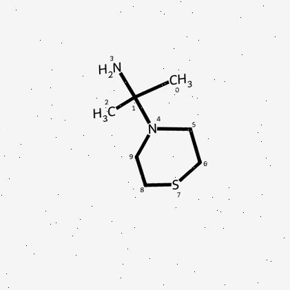 CC(C)(N)N1CCSCC1